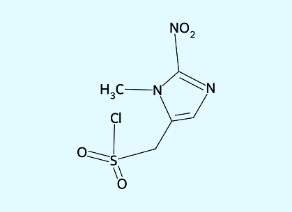 Cn1c(CS(=O)(=O)Cl)cnc1[N+](=O)[O-]